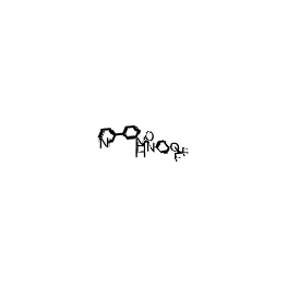 O=C(Nc1ccc(OC(F)F)cc1)Nc1cccc(-c2cccnc2)c1